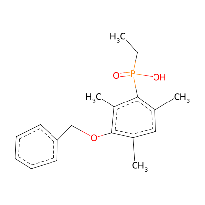 CCP(=O)(O)c1c(C)cc(C)c(OCc2ccccc2)c1C